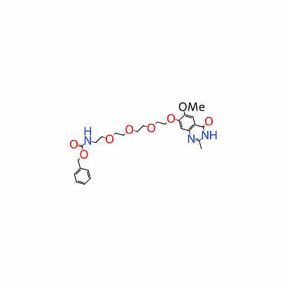 COc1cc2c(=O)[nH]c(C)nc2cc1OCCOCCOCCOCCNC(=O)OCc1ccccc1